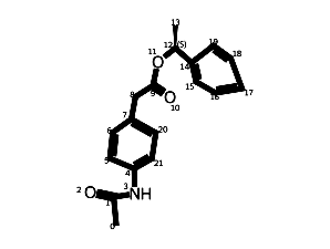 CC(=O)Nc1ccc(CC(=O)O[C@@H](C)c2ccccc2)cc1